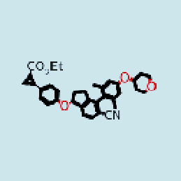 CCOC(=O)[C@H]1C[C@@H]1c1ccc(O[C@@H]2CCc3c2ccc(C#N)c3-c2c(C)cc(OC3CCOCC3)cc2C)cc1